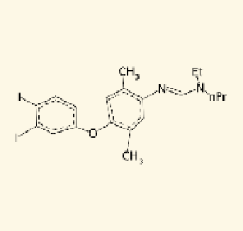 CCCN(C=Nc1cc(C)c(Oc2ccc(I)c(I)c2)cc1C)CC